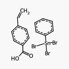 C=Cc1ccc(C(=O)O)cc1.[Br][Sn]([Br])([Br])[c]1ccccc1